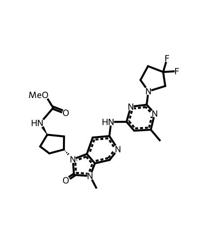 COC(=O)N[C@@H]1CC[C@@H](n2c(=O)n(C)c3cnc(Nc4cc(C)nc(N5CCC(F)(F)C5)n4)cc32)C1